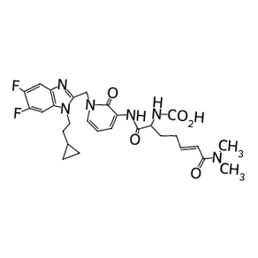 CN(C)C(=O)/C=C/CCC(NC(=O)O)C(=O)Nc1cccn(Cc2nc3cc(F)c(F)cc3n2CCC2CC2)c1=O